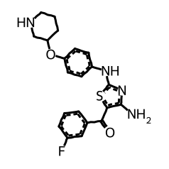 Nc1nc(Nc2ccc(OC3CCCNC3)cc2)sc1C(=O)c1cccc(F)c1